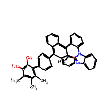 Bc1c(B)c(O)c(O)c(-c2ccc(-c3c4ccccc4c(-c4ccccc4-n4c(CC)nc5ccccc54)c4ccccc34)cc2)c1B